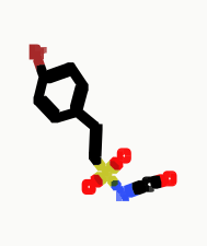 O=C=NS(=O)(=O)/C=C/c1ccc(Br)cc1